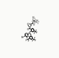 CCN(CCC(=O)OC(C)(C)C)C(=O)c1ccc(C(F)(F)F)cc1CN(Cc1cc(C(F)(F)F)cc(C(F)(F)F)c1)c1ncc(Br)cn1